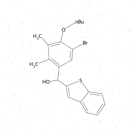 CCCCOc1c(Br)cc(C(O)c2cc3ccccc3s2)c(C)c1C